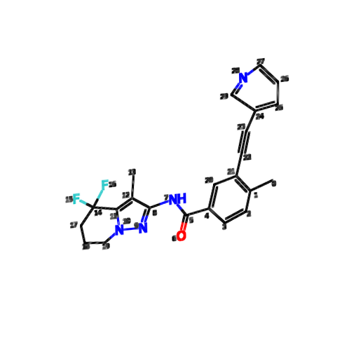 Cc1ccc(C(=O)Nc2nn3c(c2C)C(F)(F)CCC3)cc1C#Cc1cccnc1